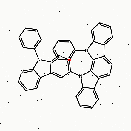 c1ccc(-n2c3ccc(-n4c5ccccc5c5ccc6c7ccccc7n(-c7ccccc7)c6c54)cc3c3cccnc32)cc1